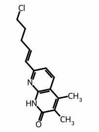 Cc1c(C)c2ccc(C=CCCCCl)nc2[nH]c1=O